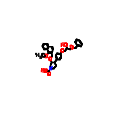 COc1c(COC2CN(C(=O)O)CCC2c2ccc(OCC(O)COCc3ccccc3)cc2)ccc2ccccc12